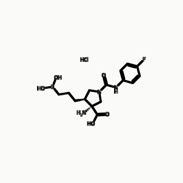 Cl.N[C@@]1(C(=O)O)CN(C(=O)Nc2ccc(F)cc2)C[C@@H]1CCCB(O)O